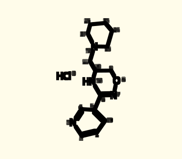 Cl.c1cncc(C2=NOCC(CN3CCCCC3)N2)c1